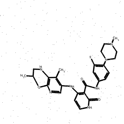 Cc1c(Nc2cc[nH]c(=O)c2C(=O)Nc2ccc(N3CCN(C)CC3)c(F)c2)cnc2c1NCC(C)O2